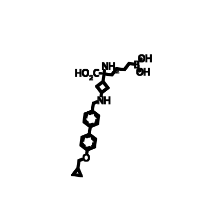 N[C@@](CCCCB(O)O)(C(=O)O)C1CC(NCc2ccc(-c3ccc(OCC4CC4)cc3)cc2)C1